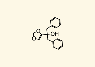 OC(Cc1ccccc1)(Cc1ccccc1)C1=COCO1